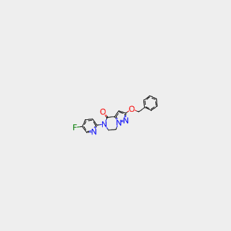 O=C1c2cc(OCc3ccccc3)nn2CCN1c1ccc(F)cn1